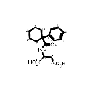 O=C(O)C(CS(=O)(=O)O)NC(=O)C1(c2ccccc2)CCCCC1